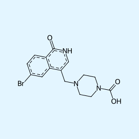 O=C(O)N1CCN(Cc2c[nH]c(=O)c3ccc(Br)cc23)CC1